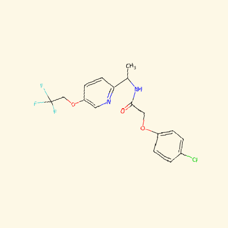 CC(NC(=O)COc1ccc(Cl)cc1)c1ccc(OCC(F)(F)F)cn1